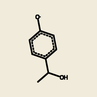 CC(O)c1ccc([O])cc1